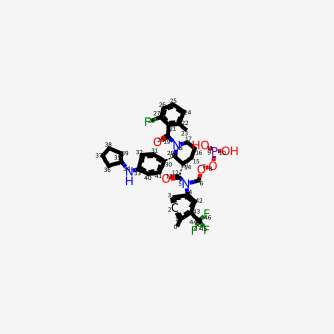 Cc1ccc(N(COOP(O)O)C(=O)[C@H]2CCCN(C(=O)c3c(C)cccc3F)[C@H]2c2ccc(NC3CCCC3)cc2)cc1C(F)(F)F